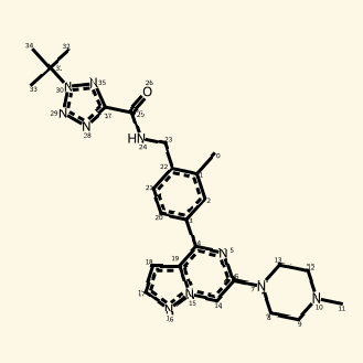 Cc1cc(-c2nc(N3CCN(C)CC3)cn3nccc23)ccc1CNC(=O)c1nnn(C(C)(C)C)n1